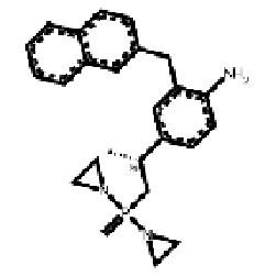 C=P(C[C@H](C)c1ccc(N)c(Cc2ccc3ccccc3c2)c1)(N1CC1)N1CC1